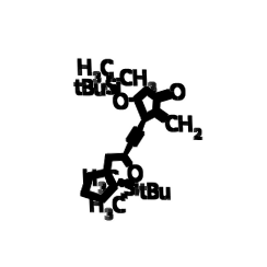 C=C1C(=O)C[C@@H](O[Si](C)(C)C(C)(C)C)[C@@H]1C#C[C@H](CC1CCCC1)O[Si](C)(C)C(C)(C)C